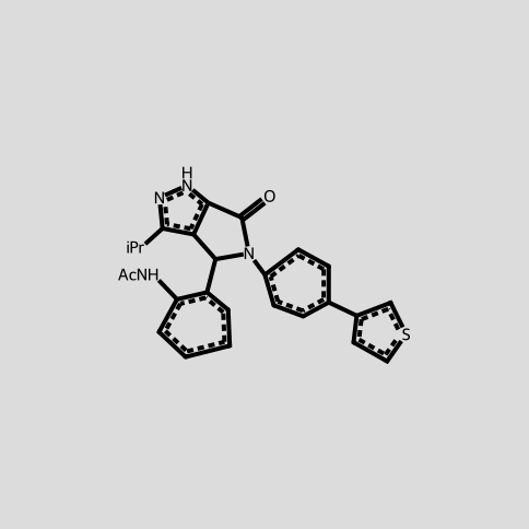 CC(=O)Nc1ccccc1C1c2c(C(C)C)n[nH]c2C(=O)N1c1ccc(-c2ccsc2)cc1